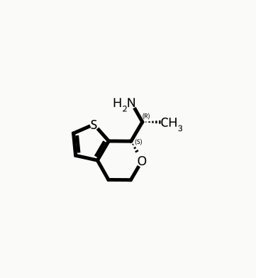 C[C@@H](N)[C@@H]1OCCc2ccsc21